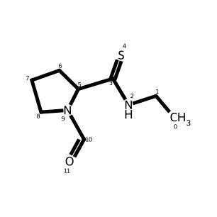 CCNC(=S)C1CCCN1C=O